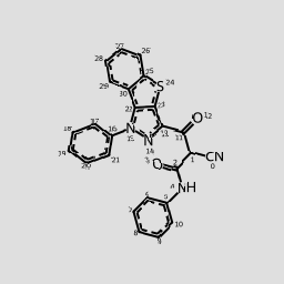 N#CC(C(=O)Nc1ccccc1)C(=O)c1nn(-c2ccccc2)c2c1sc1ccccc12